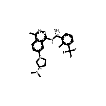 Cc1c([C@@H](N)Nc2nnc(C)c3ccc(N4CC[C@H](N(C)C)C4)cc23)cccc1C(F)(F)F